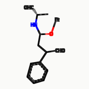 CCOC(CC(C=O)c1ccccc1)N[C@@H](C)C=O